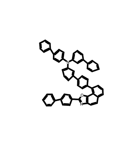 c1ccc(-c2ccc(-c3nc4ccc5cccc(-c6ccc(-c7cccc(N(c8ccc(-c9ccccc9)cc8)c8cccc(-c9ccccc9)c8)c7)cc6)c5c4o3)cc2)cc1